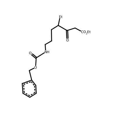 CCOC(=O)CC(=O)C(CC)CCCNC(=O)OCc1ccccc1